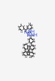 N=C(/N=c1/nc(-c2ccccc2)c2ccccc2[nH]1)c1ccc(-c2ccc3c(c2)C2(c4ccccc4-c4ccccc42)c2ccccc2-3)cc1